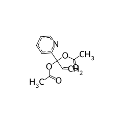 C=CC(OC(C)=O)(OC(C)=O)c1ccccn1